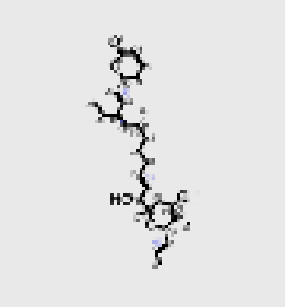 C/C=C/[C@@H]1O[C@](C)([C@H](O)/C=C/CCC[C@@H](C)/C=C(\C=C\[C@H]2CC=CC(=O)O2)CC)C[C@@H](O)[C@@H]1C